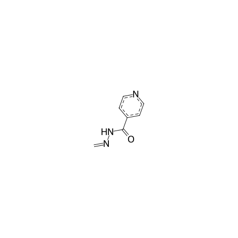 C=NNC(=O)c1ccncc1